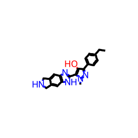 CCc1ccc(-c2nn(C)c(-c3nc4cc5c(cc4[nH]3)CNC5)c2O)cc1